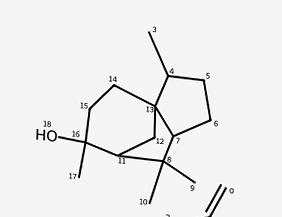 C=CC.CC1CCC2C(C)(C)C3CC12CCC3(C)O